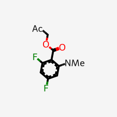 CNc1cc(F)cc(F)c1C(=O)OCC(C)=O